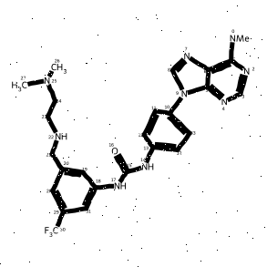 CNc1ncnc2c1ncn2-c1ccc(NC(=O)Nc2cc(CNCCN(C)C)cc(C(F)(F)F)c2)cc1